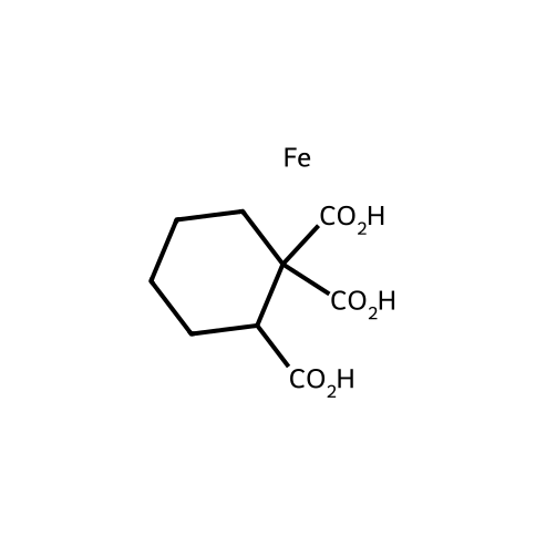 O=C(O)C1CCCCC1(C(=O)O)C(=O)O.[Fe]